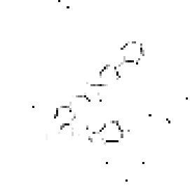 O=C(Nc1ccc(O)c(NS(=O)(=O)c2ccc(F)cc2)c1)NC1(C(F)(F)F)C=CC(c2ccccc2)=CC1